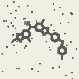 Cc1ccc(Oc2ccc(-c3nc4cc(C(c5cc(C)c6oc(C)nc6c5)C(F)(F)F)cc(C)c4o3)cc2)cc1